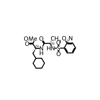 COC(=O)[C@H](CC1CCCCC1)NC(=O)[C@H](C)NS(=O)(=O)c1ccccc1[N+](=O)[O-]